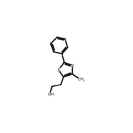 Cc1nc(-c2ccccc2)sc1CCO